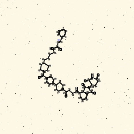 O=C(/C=C/c1cccnc1)NCCCCC1CCN(C(=O)c2ccc(C3CCN(C(=O)CCNc4cccc5c4C(=O)N(C4CCC(=O)NC4=O)C5=O)CC3)cc2)CC1